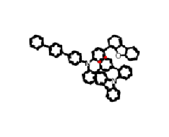 C1=CC2OC3=C(c4ccc(N(c5ccc(-c6ccc(-c7ccccc7)cc6)cc5)c5ccccc5-c5cccc(-c6ccccc6-n6c7ccccc7c7ccccc76)c5)cc4)CCC=C3C2C=C1